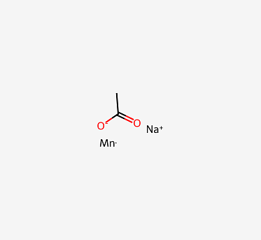 CC(=O)[O-].[Mn].[Na+]